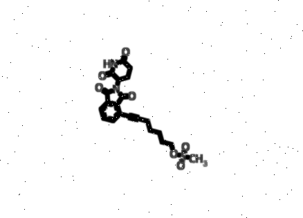 CS(=O)(=O)OCCCCCC#Cc1cccc2c1C(=O)N(C1CCC(=O)NC1=O)C2=O